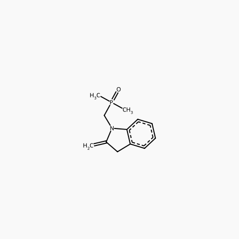 C=C1Cc2ccccc2N1CP(C)(C)=O